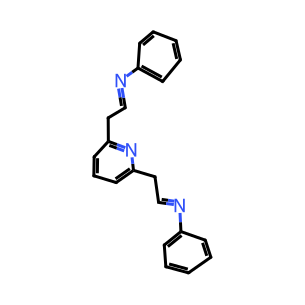 C(Cc1cccc(CC=Nc2ccccc2)n1)=Nc1ccccc1